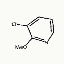 C[CH]c1cccnc1OC